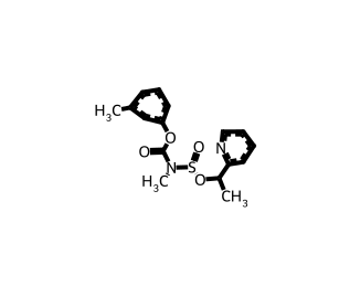 Cc1cccc(OC(=O)N(C)S(=O)OC(C)c2ccccn2)c1